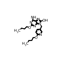 CCCCOc1ccc(Cn2c(O)nc3c(N)nc(OCCCC)nc32)cn1